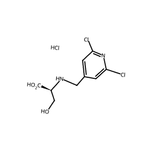 Cl.O=C(O)[C@H](CO)NCc1cc(Cl)nc(Cl)c1